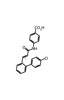 O=C(/C=C/c1ccccc1-c1ccc(Cl)cc1)Nc1ccc(C(=O)O)cc1